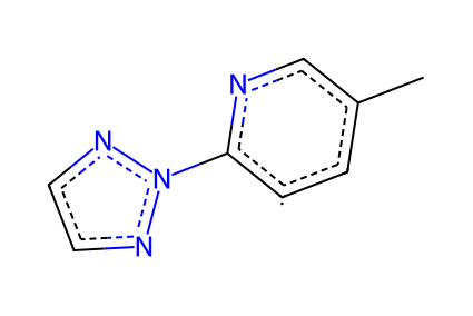 Cc1c[c]c(-n2nccn2)nc1